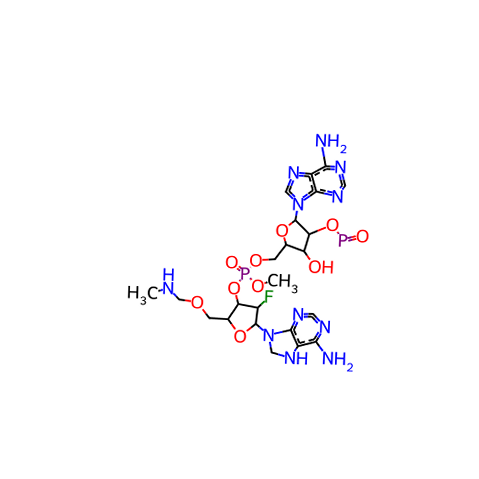 CNCOCC1OC(N2CNc3c(N)ncnc32)C(F)C1OP(=O)(OC)OCC1OC(n2cnc3c(N)ncnc32)C(OP=O)C1O